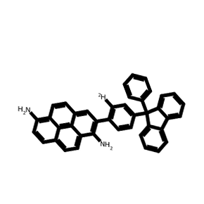 [2H]c1cc(C2(c3ccccc3)c3ccccc3-c3ccccc32)ccc1-c1cc2ccc3c(N)ccc4ccc(c1N)c2c43